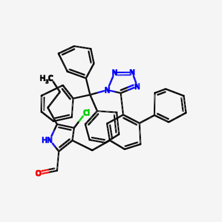 CCCc1[nH]c(C=O)c(Cc2ccc(-c3ccccc3)c(-c3nnnn3C(c3ccccc3)(c3ccccc3)c3ccccc3)c2)c1Cl